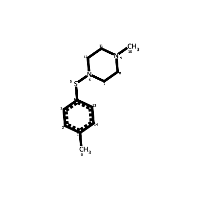 Cc1ccc(SN2CCN(C)CC2)cc1